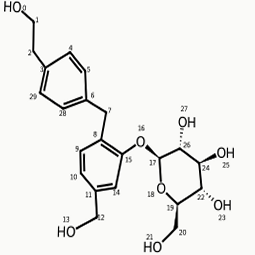 OCCc1ccc(Cc2ccc(CO)cc2O[C@@H]2O[C@H](CO)[C@@H](O)[C@H](O)[C@H]2O)cc1